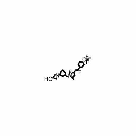 Cc1cc(C=C(F)c2ccc(OC(F)(F)F)cc2)nn1Cc1cccc(N2CC(O)C2)c1